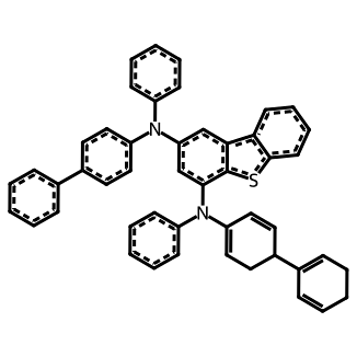 C1=CC(C2C=CC(N(c3ccccc3)c3cc(N(c4ccccc4)c4ccc(-c5ccccc5)cc4)cc4c3sc3ccccc34)=CC2)=CCC1